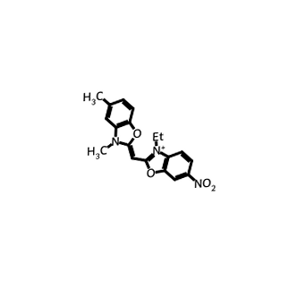 CC[n+]1c(C=C2Oc3ccc(C)cc3N2C)oc2cc([N+](=O)[O-])ccc21